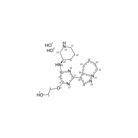 Cl.Cl.OCCOc1cc(N[C@@H]2CCCNC2)nc(-c2cnn3ccccc23)n1